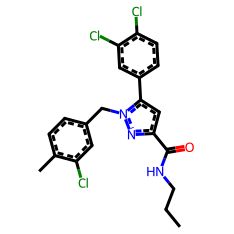 CCCNC(=O)c1cc(-c2ccc(Cl)c(Cl)c2)n(Cc2ccc(C)c(Cl)c2)n1